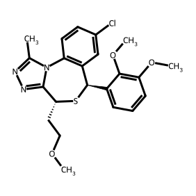 COCC[C@H]1S[C@H](c2cccc(OC)c2OC)c2cc(Cl)ccc2-n2c(C)nnc21